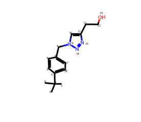 CC(C)(C)c1ccc(Cn2cc(CCO)nn2)cc1